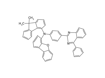 CC1(C)c2ccccc2-c2c(N(c3ccc(-c4nc(-c5ccccc5)c5ccccc5n4)cc3)c3cccc4c3oc3ccccc34)cccc21